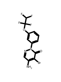 Nc1cnn(-c2cccc(OC(F)(F)C(F)F)c2)c(=O)c1Br